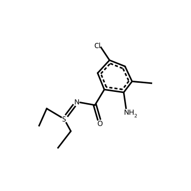 CCS(CC)=NC(=O)c1cc(Cl)cc(C)c1N